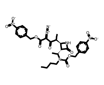 CCCCN(C(=O)OCc1ccc([N+](=O)[O-])cc1)C(C)[C@H]1C(=O)N[C@@H]1C(C)C(=O)C(=[N+]=[N-])C(=O)OCc1ccc([N+](=O)[O-])cc1